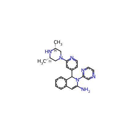 C[C@@H]1CN(c2cc(C3c4ccccc4C=C(N)N3c3cnccn3)ccn2)C[C@H](C)N1